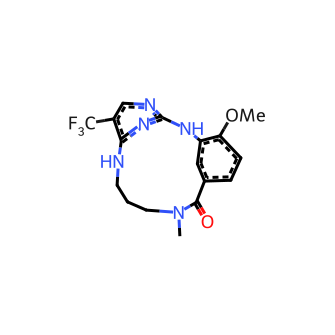 COc1ccc2cc1Nc1ncc(C(F)(F)F)c(n1)NCCCN(C)C2=O